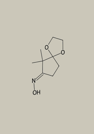 CC1(C)C(=NO)CCC12OCCO2